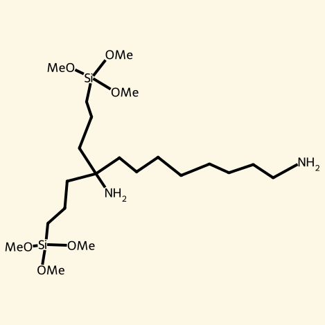 CO[Si](CCCC(N)(CCCCCCCCN)CCC[Si](OC)(OC)OC)(OC)OC